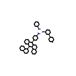 N#Cc1ccc(-c2cccc(CNC(NC(N)c3ccccc3)c3ccc(-c4c5ccccc5c(-c5cccc6ccccc56)c5c4ccc4ccccc45)cc3)c2)cc1